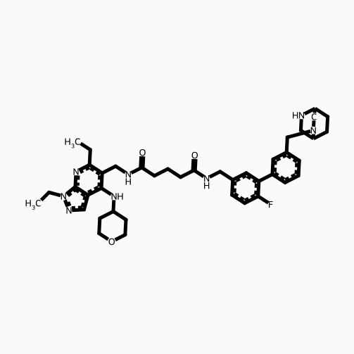 CCc1nc2c(cnn2CC)c(NC2CCOCC2)c1CNC(=O)CCCC(=O)NCc1ccc(F)c(-c2cccc(CN3CC4CCC3CN4)c2)c1